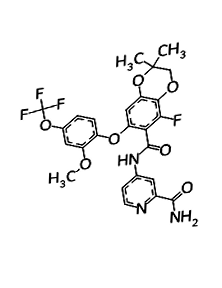 COc1cc(OC(F)(F)F)ccc1Oc1cc2c(c(F)c1C(=O)Nc1ccnc(C(N)=O)c1)OCC(C)(C)O2